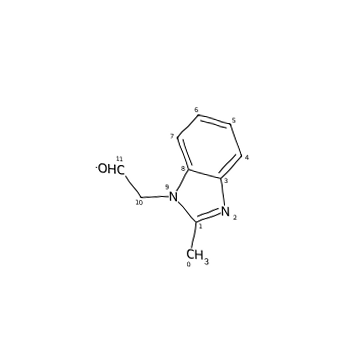 Cc1nc2ccccc2n1C[C]=O